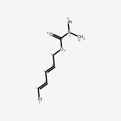 CCC=CC=CCOC(=O)N(C)C(C)C